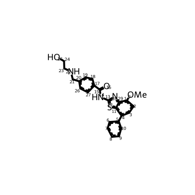 COc1ccc(-c2ccccc2)c2sc(NC(=O)c3ccc(CNCCO)cc3)nc12